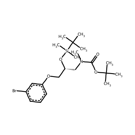 CN(C[C@H](COc1cccc(Br)c1)O[Si](C)(C)C(C)(C)C)C(=O)OC(C)(C)C